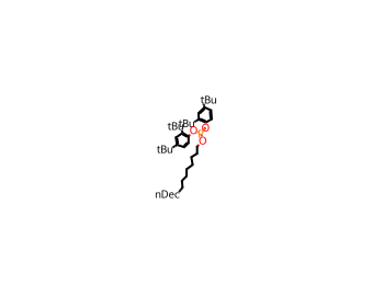 CCCCCCCCCCCCCCCCCCOP(Oc1ccc(C(C)(C)C)cc1C(C)(C)C)Oc1ccc(C(C)(C)C)cc1C(C)(C)C